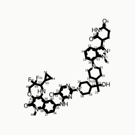 Cn1nc(C2CCC(=O)NC2=O)c2cccc(N3CCC(C(C)(O)C4CCN(c5ncc(Cl)c(Nc6ccc7c(c6)c6c(c(=O)n7C)OCC(F)(F)C(C7CC7)N6)n5)CC4)CC3)c21